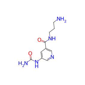 NCCCNC(=O)c1cncc(NC(N)=O)c1